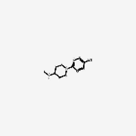 CNC1CCN(c2ncc(Cl)cn2)CC1